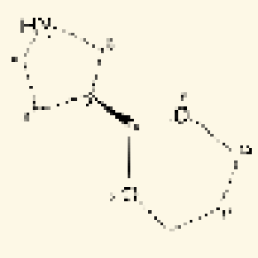 C1COC([C@H]2CCNC2)OC1